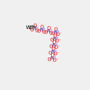 O=[N+]([O-])[O-].O=[N+]([O-])[O-].O=[N+]([O-])[O-].O=[N+]([O-])[O-].O=[N+]([O-])[O-].O=[N+]([O-])[O-].O=[N+]([O-])[O-].O=[N+]([O-])[O-].[Ti+4].[W+4]